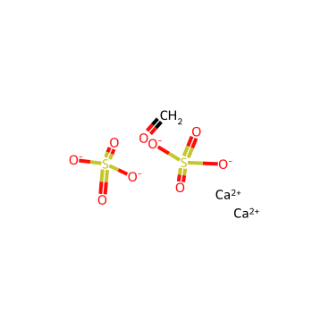 C=O.O=S(=O)([O-])[O-].O=S(=O)([O-])[O-].[Ca+2].[Ca+2]